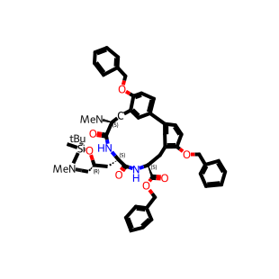 CNC[C@@H](C[C@@H]1NC(=O)[C@@H](NC)Cc2cc(ccc2OCc2ccccc2)-c2ccc(OCc3ccccc3)c(c2)C[C@@H](C(=O)OCc2ccccc2)NC1=O)O[Si](C)(C)C(C)(C)C